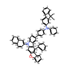 CC1(C)c2ccccc2-c2ccc(N(c3ccccc3)c3ccc(-c4ccc5c(c4)c4c(-c6ccccc6)c6c(cc4n5-c4ccc5ccccc5c4)oc4ccccc46)cc3)cc21